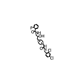 O=C(CN1CCN(CC(O)CNC(=O)c2ccccc2F)CC1)NCc1ccc(Cl)cc1Cl